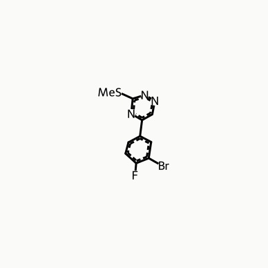 CSc1nncc(-c2ccc(F)c(Br)c2)n1